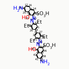 CCc1cc(-c2cc(CC)c(/N=N/c3c(S(=O)(=O)O)cc4ccc(N)cc4c3O)c(CC)c2)cc(CC)c1/N=N/c1c(S(=O)(=O)O)cc2cc(N)ccc2c1O